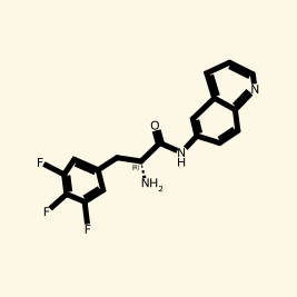 N[C@H](Cc1cc(F)c(F)c(F)c1)C(=O)Nc1ccc2ncccc2c1